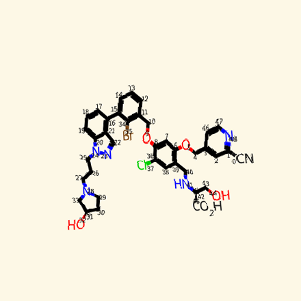 N#Cc1cc(COc2cc(OCc3cccc(-c4cccc5c4cnn5CCCN4CC[C@@H](O)C4)c3Br)c(Cl)cc2CN[C@@H](CO)C(=O)O)ccn1